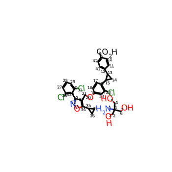 NC(CO)(CO)CO.O=C(O)c1ccc(C2CC2c2ccc(OCc3c(-c4c(Cl)cccc4Cl)noc3C3CC3)cc2Cl)cc1